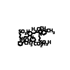 Cc1ccc2c(c1)C(C)(C)/C(=C/C=C1\CCCC(/C=C/C3=[N+](CCCS(=O)(=O)O)c4ccccc4C3(C)C)=C1N1CCC(C(=O)O)CC1)N2CCCS(=O)(=O)O